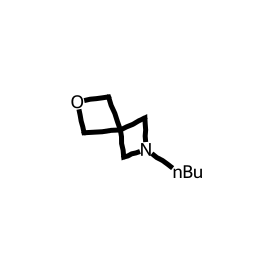 CCCCN1CC2(COC2)C1